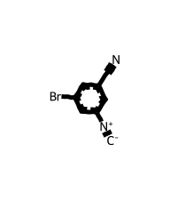 [C-]#[N+]c1cc(Br)cc(C#N)c1